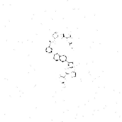 COC(=O)N[C@H](C(=O)N[C@H]1CCC[C@@H]1NC(=O)c1cccc(-c2ccc3cc(-c4c[nH]c([C@@H]5CCCN5C(=O)[C@@H](NC(=O)OC)C(C)C)n4)ccc3c2)c1)C(C)C